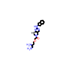 N/C=C(\N)CCOCC(=O)N1CBc2nc(NC3Cc4ccccc4C3)ncc2C1